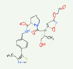 Cc1ncsc1-c1ccc(CNC(=O)C2CCCN2C(=O)[C@H](c2cc(OCC=O)no2)C(C)CO)cc1